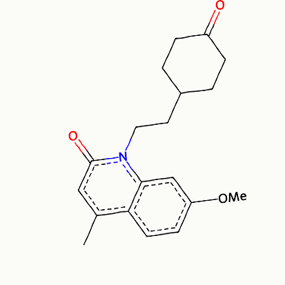 COc1ccc2c(C)cc(=O)n(CCC3CCC(=O)CC3)c2c1